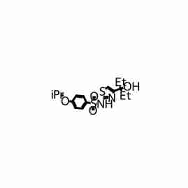 CCC(O)(CC)c1csc(NS(=O)(=O)c2ccc(OC(C)C)cc2)n1